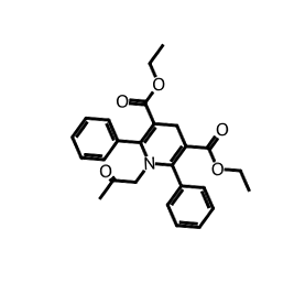 CCOC(=O)C1=C(c2ccccc2)N(CC(C)=O)C(c2ccccc2)=C(C(=O)OCC)C1